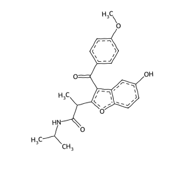 COc1ccc(C(=O)c2c(C(C)C(=O)NC(C)C)oc3ccc(O)cc23)cc1